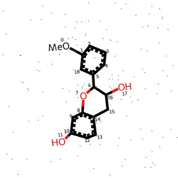 COc1cccc(C2Oc3cc(O)ccc3CC2O)c1